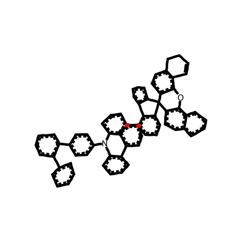 C1=Cc2c(ccc3c2Oc2c(ccc4ccccc24)C32c3ccccc3-c3c(-c4cccc(N(c5ccc(-c6ccccc6-c6ccccc6)cc5)c5ccccc5-c5ccccc5)c4)cccc32)CC1